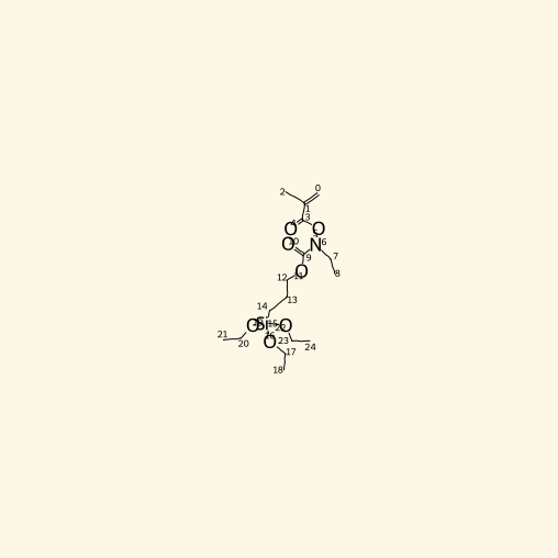 C=C(C)C(=O)ON(CC)C(=O)OCCC[Si](OCC)(OCC)OCC